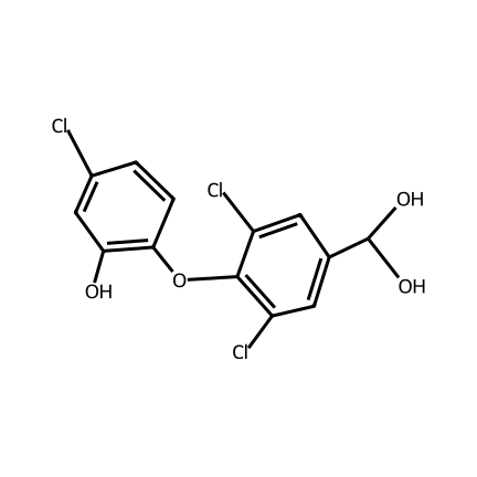 Oc1cc(Cl)ccc1Oc1c(Cl)cc(C(O)O)cc1Cl